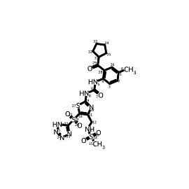 Cc1ccc(NC(=O)Nc2nc(CNS(C)(=O)=O)c(S(=O)(=O)c3nnn[nH]3)s2)c(C(=O)C2CCCC2)c1